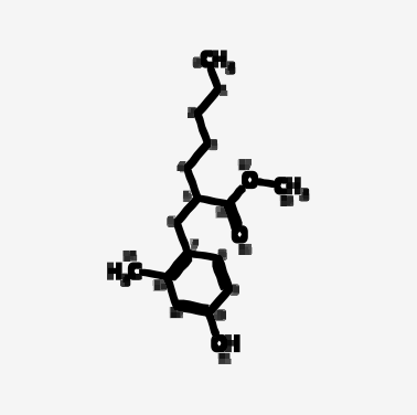 CCCCCC(Cc1ccc(O)cc1C)C(=O)OC